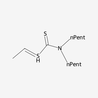 CC=[SH]C(=S)N(CCCCC)CCCCC